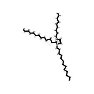 CCCCCCCCCCCCCN1C=CN(CCCCCCCCC)C1CCCCCCCCCCCC